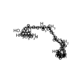 CC(C)(CCOC(=O)NCCOCCOCCNC(=O)c1ccc(C(=O)O)c(-c2c3ccc(=N)c(S(=O)(=O)O)c-3oc3c(S(=O)(=O)O)c(N)ccc23)c1)SSCOCCCCOC(=O)NCC#Cc1cn([C@H]2C[C@@H](OCN=[N+]=[N-])[C@@H](COP(=O)(O)OP(=O)(O)OP(=O)(O)O)O2)c(=O)nc1N